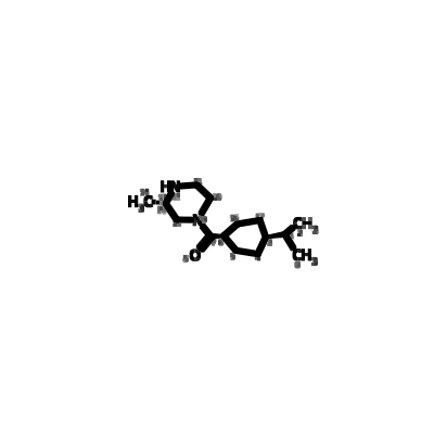 CC(C)[C@H]1CC[C@@H](C(=O)N2CCN[C@@H](C)C2)CC1